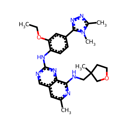 CCOc1cc(-c2nnc(C)n2C)ccc1Nc1ncc2cc(C)nc(NCC3(C)CCOC3)c2n1